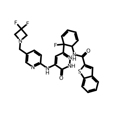 O=C(NC1C=CC=CC1(F)c1cc(Nc2ccc(CN3CC(F)(F)C3)cn2)c(=O)[nH]n1)c1cc2ccccc2s1